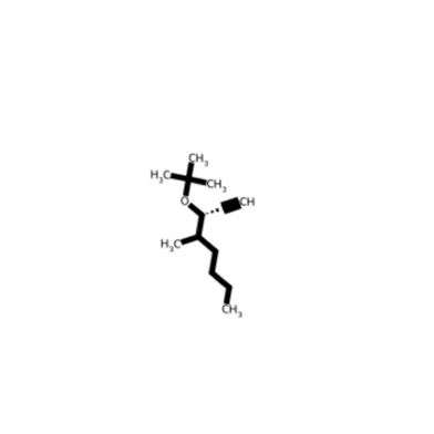 C#C[C@@H](OC(C)(C)C)C(C)CCCC